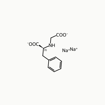 O=C([O-])CN[C@@H](Cc1ccccc1)C(=O)[O-].[Na+].[Na+]